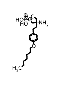 CCCCCCCOc1ccc(CC[C@](N)(CC)COP(=O)(O)O)cc1